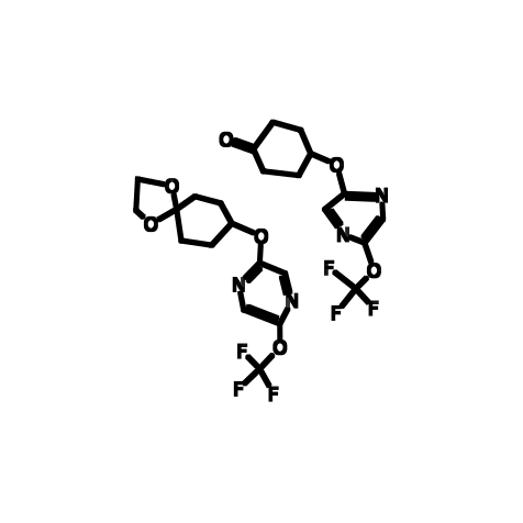 FC(F)(F)Oc1cnc(OC2CCC3(CC2)OCCO3)cn1.O=C1CCC(Oc2cnc(OC(F)(F)F)cn2)CC1